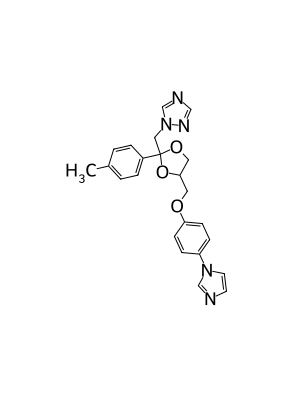 Cc1ccc(C2(Cn3cncn3)OCC(COc3ccc(-n4ccnc4)cc3)O2)cc1